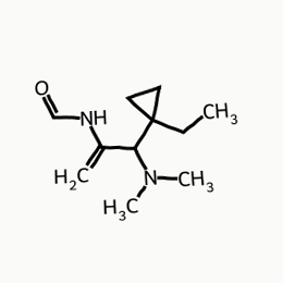 C=C(NC=O)C(N(C)C)C1(CC)CC1